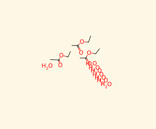 CCOC(C)=O.CCOC(C)=O.CCOC(C)=O.O.O.O.O.O.O.O.O